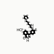 Cl.O=c1[nH]nc(-c2ccc(F)c(NCCCCCN3CCCC3)c2)c2ccccc12